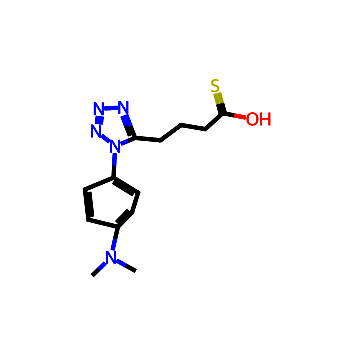 CN(C)c1ccc(-n2nnnc2CCCC(O)=S)cc1